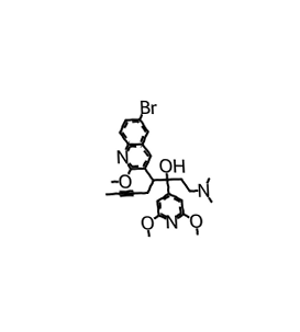 CC#CCC(c1cc2cc(Br)ccc2nc1OC)C(O)(CCN(C)C)c1cc(OC)nc(OC)c1